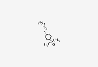 CP(C)(=O)c1ccc(COC2CNC2)cc1